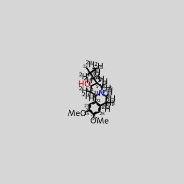 [2H]C1([2H])[C@@H](O)[C@@]([2H])(C([2H])([2H])C([2H])(C)C([2H])([2H])[2H])C([2H])([2H])N2[C@@H]1c1cc(OC)c(OC)cc1C([2H])([2H])C2([2H])[2H]